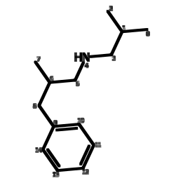 CC(C)CNCC(C)Cc1ccccc1